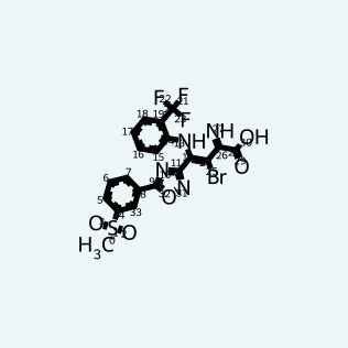 CS(=O)(=O)c1cccc(-c2nc(/C(Nc3ccccc3C(F)(F)F)=C(\Br)C(=N)C(=O)O)no2)c1